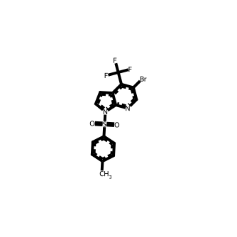 Cc1ccc(S(=O)(=O)n2ccc3c(C(F)(F)F)c(Br)cnc32)cc1